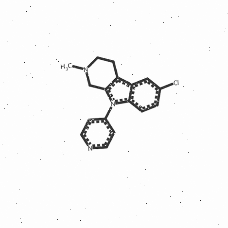 CN1CCc2c(n(-c3ccncc3)c3ccc(Cl)cc23)C1